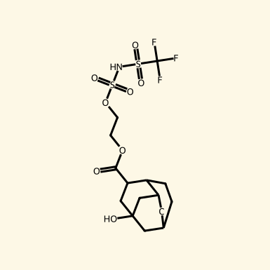 O=C(OCCOS(=O)(=O)NS(=O)(=O)C(F)(F)F)C1CC2(O)CC3CCC1C(C3)C2